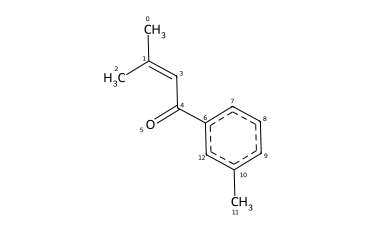 CC(C)=CC(=O)c1cccc(C)c1